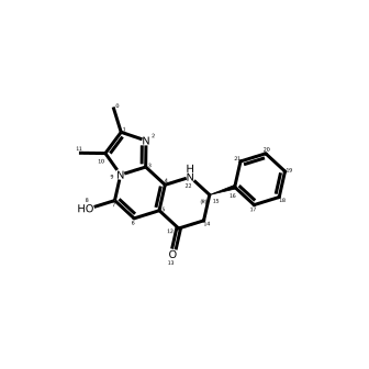 Cc1nc2c3c(cc(O)n2c1C)C(=O)C[C@H](c1ccccc1)N3